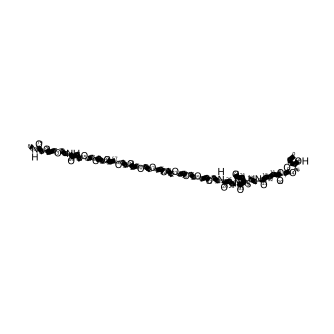 CCC(CO)OC(COC(=O)CCCC(=O)NCCSC1CC(=O)N(CCC(=O)NCCOCCOCCOCCOCCOCCOCCOCCOCCOCCOCCOCCOCCC(=O)NCCOCCOCC(=O)NC)C1=O)OC